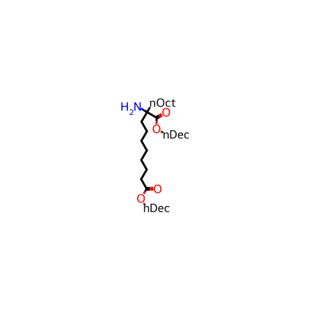 CCCCCCCCCCOC(=O)CCCCCCCC(N)(CCCCCCCC)C(=O)OCCCCCCCCCC